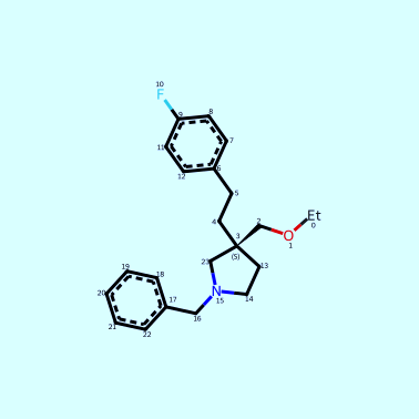 CCOC[C@@]1(CCc2ccc(F)cc2)CCN(Cc2ccccc2)C1